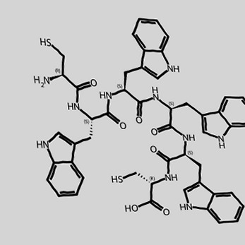 N[C@@H](CS)C(=O)N[C@@H](Cc1c[nH]c2ccccc12)C(=O)N[C@@H](Cc1c[nH]c2ccccc12)C(=O)N[C@@H](Cc1c[nH]c2ccccc12)C(=O)N[C@@H](Cc1c[nH]c2ccccc12)C(=O)N[C@@H](CS)C(=O)O